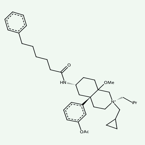 COC12CC[C@@H](NC(=O)CCCCCc3ccccc3)C[C@@]1(c1cccc(OC(C)=O)c1)CC[N@+](CC(C)C)(CC1CC1)C2